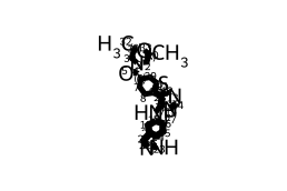 C[C@@H]1CN(C(=O)[C@H]2CCc3c(sc4ncnc(Nc5cc6cn[nH]c6cc5F)c34)C2)C[C@H](C)O1